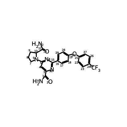 NC(=O)c1cc(N2CCCC2C(N)=O)nc(-c2ccc(Oc3ccc(C(F)(F)F)cc3)cc2)n1